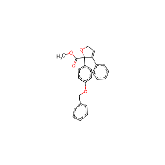 COC(=O)C1(c2ccc(OCc3ccccc3)cc2)OCC=C1c1ccccc1